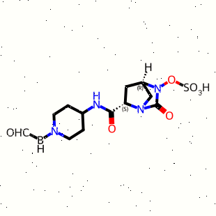 O=CBN1CCC(NC(=O)[C@@H]2C[C@@H]3CN2C(=O)N3OS(=O)(=O)O)CC1